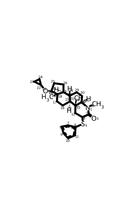 CN1C(=O)C(Sc2ccccc2)C[C@]2(C)[C@H]3CC[C@]4(C)[C@@H](OC5CC5)CC[C@H]4[C@@H]3CC[C@@H]12